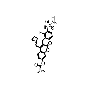 CNS(=O)(=O)Nc1cccc(Cc2c(CN3CCC3)c3ccc(OC(=O)N(C)C)cc3oc2=O)c1F